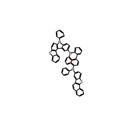 c1ccc(N(c2ccc(-c3ccccc3N(c3ccccc3)c3ccc4c(c3)c3c5c(ccc3n4-c3ccccc3)sc3ccccc35)cc2)c2ccc3sc4c5ccccc5ccc4c3c2)cc1